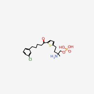 CC(N)(CCc1ccc(C(=O)CCCCc2cccc(Cl)c2)s1)COP(=O)(O)O